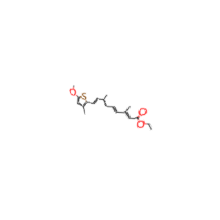 CCOC(=O)/C=C(\C)C=CC=C(C)C=Cc1sc(OC)cc1C